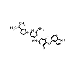 CN(C)C1CCN(c2cc(Nc3cc(F)c(Oc4ccnc5[nH]ccc45)c(F)c3)nc(N)n2)C1